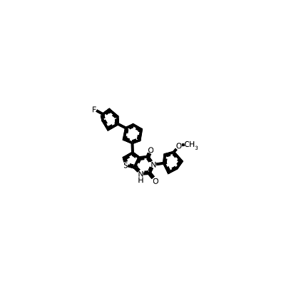 COc1cccc(-n2c(=O)[nH]c3scc(-c4cccc(-c5ccc(F)cc5)c4)c3c2=O)c1